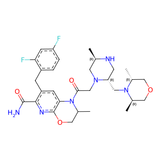 CC1COc2nc(C(N)=O)c(Cc3ccc(F)cc3F)cc2N1C(=O)CN1C[C@@H](C)NC[C@@H]1CN1[C@H](C)COC[C@H]1C